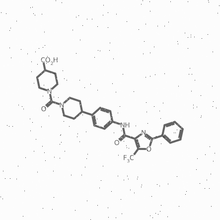 O=C(Nc1ccc(C2CCN(C(=O)N3CCC(C(=O)O)CC3)CC2)cc1)c1nc(-c2ccccc2)oc1C(F)(F)F